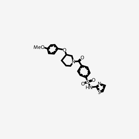 COc1ccc(OC2CCCN(C(=O)c3ccc(S(=O)(=O)Nc4nccs4)cc3)C2)cc1